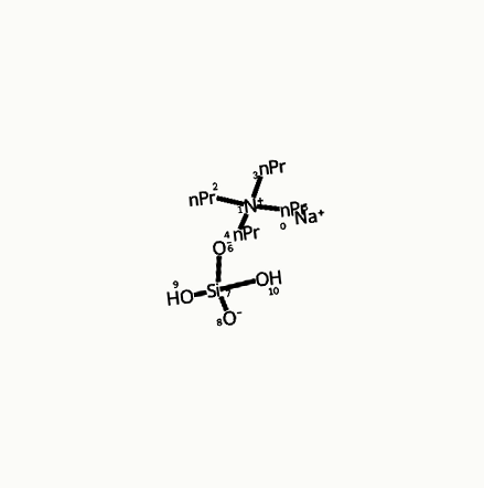 CCC[N+](CCC)(CCC)CCC.[Na+].[O-][Si]([O-])(O)O